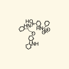 CS(=O)(=O)C(Nc1cccc([C@@H](O)CNC(CCOc2ccc3c(c2)[nH]c2ccccc23)c2ccccc2)c1)c1ccccc1